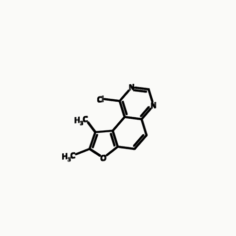 Cc1oc2ccc3ncnc(Cl)c3c2c1C